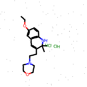 CCOc1ccc2c(c1)C=C(CCN1CCOCC1)C(C)(C)N2.Cl.Cl